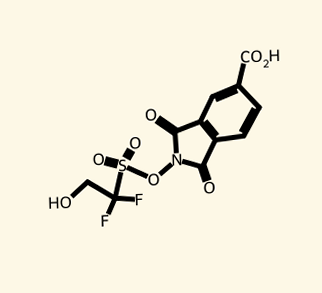 O=C(O)c1ccc2c(c1)C(=O)N(OS(=O)(=O)C(F)(F)CO)C2=O